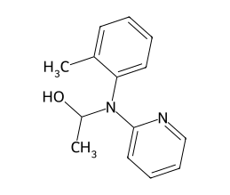 Cc1ccccc1N(c1ccccn1)C(C)O